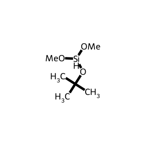 CO[SiH](OC)OC(C)(C)C